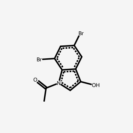 CC(=O)n1cc(O)c2cc(Br)cc(Br)c21